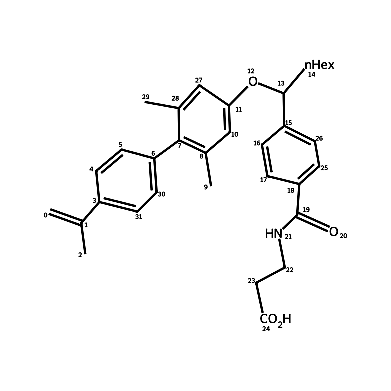 C=C(C)c1ccc(-c2c(C)cc(OC(CCCCCC)c3ccc(C(=O)NCCC(=O)O)cc3)cc2C)cc1